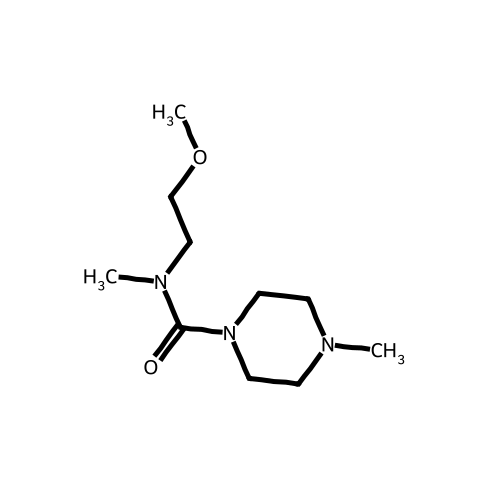 COCCN(C)C(=O)N1CCN(C)CC1